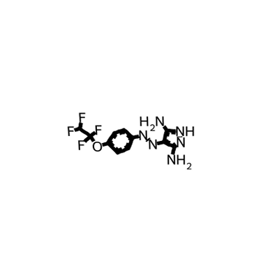 Nc1n[nH]c(N)c1N=Nc1ccc(OC(F)(F)C(F)F)cc1